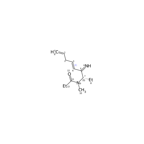 C=CC/C=C/C(=N)[C@H](CC)N(C)C(=O)CC